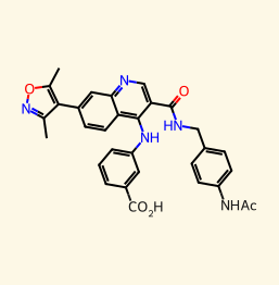 CC(=O)Nc1ccc(CNC(=O)c2cnc3cc(-c4c(C)noc4C)ccc3c2Nc2cccc(C(=O)O)c2)cc1